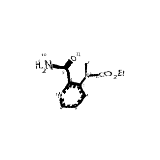 CCOC(=O)N(C)c1cccnc1C(N)=O